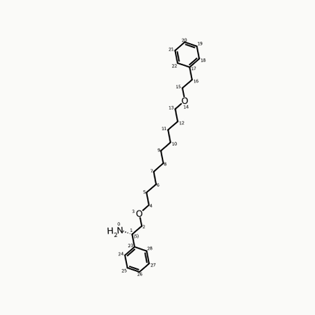 N[C@H](COCCCCCCCCCCOCCc1ccccc1)c1ccccc1